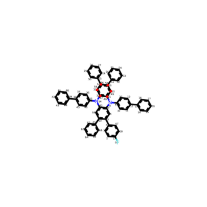 Fc1ccc(-c2cc(N(c3ccc(-c4ccccc4)cc3)c3ccc(-c4ccccc4)cc3)c(N(c3ccc(-c4ccccc4)cc3)c3ccc(-c4ccccc4)cc3)cc2-c2ccccc2)cc1